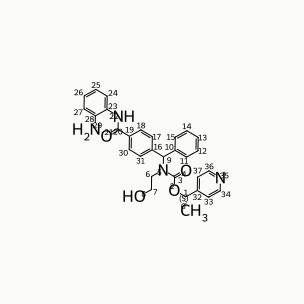 C[C@H](OC(=O)N(CCO)C(c1ccccc1)c1ccc(C(=O)Nc2ccccc2N)cc1)c1ccncc1